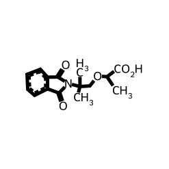 CC(OCC(C)(C)N1C(=O)c2ccccc2C1=O)C(=O)O